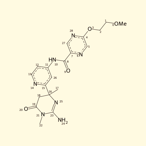 COCCOc1cnc(C(=O)Nc2ccnc(C3(C)CC(=O)N(C)C(N)=N3)c2)cn1